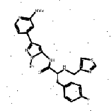 CNc1cc(-c2cc(NC(=O)[C@H](Cc3ccc(F)cc3)NCc3cscn3)n(C(C)C)n2)ccn1